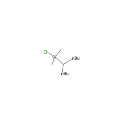 CCCCC(CCCC)[Si](C)(C)Cl